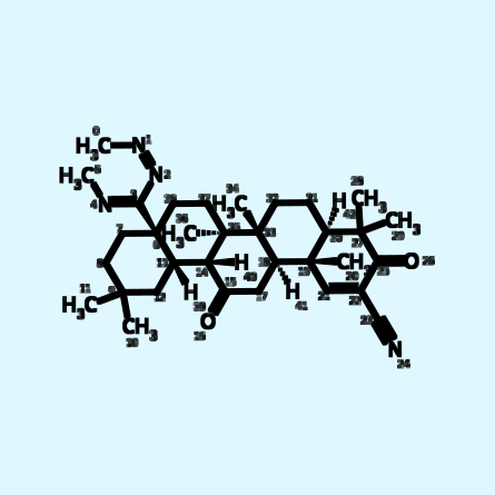 C/N=N\C(=N/C)[C@]12CCC(C)(C)C[C@H]1[C@H]1C(=O)C[C@@H]3[C@@]4(C)C=C(C#N)C(=O)C(C)(C)[C@@H]4CC[C@@]3(C)[C@]1(C)CC2